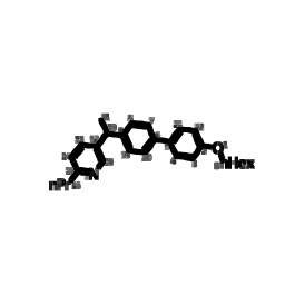 CCCCCCOc1ccc(-c2ccc(C(C)c3ccc(CCC)nc3)cc2)cc1